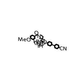 COc1ccc(C(=O)N2CCC(COc3ccc(-c4ccc(C#N)cc4)cc3)(C(=O)NS(=O)(=O)C(C)C)C2)cc1